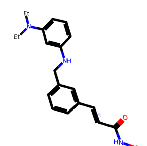 CCN(CC)c1cccc(NCc2cccc(/C=C/C(=O)NO)c2)c1